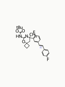 CC(C)(C)OC(=O)NC1=NC(C)(c2cc(/C=C/c3ccc(F)cc3)ccc2F)CC2(CCC2)O1